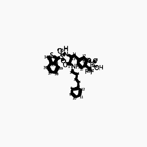 O=C(NCCCCc1ccccc1)C(Cc1ccc(C(F)(F)P(=O)(O)O)cc1)NS(=O)(=O)c1scc2ccccc12